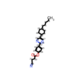 CCCCCC1CCC(c2cnc(-c3ccc(OC(=O)CCC#N)cc3)nc2)CC1